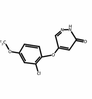 O=c1cc(Oc2ccc(OC(F)(F)F)cc2Cl)cn[nH]1